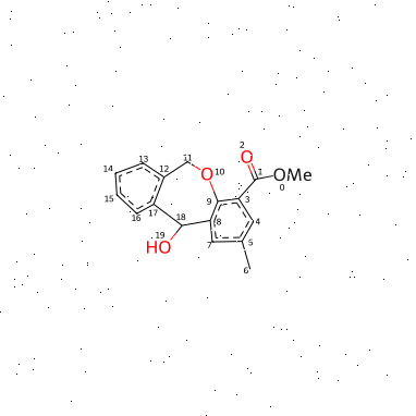 COC(=O)c1cc(C)cc2c1OCc1ccccc1C2O